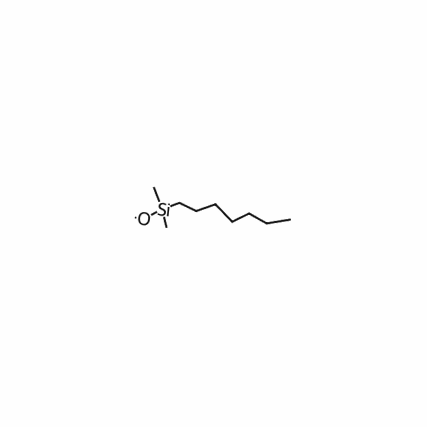 CCCCCCC[Si](C)(C)[O]